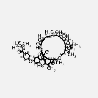 CO[C@H]1/C=C/O[C@@]2(C)Oc3c(C)c(O)c4c(=O)c(c5oc6cc(OC7CCN(C(=O)OC(C)(C)C)CC7)ccc6nc-5c4c3C2=O)NC(=O)/C(C)=C\C=C\[C@H](C)[C@H](O)[C@@H](C)[C@@H](O)[C@@H](C)[C@H](OC(C)=O)[C@@H]1C